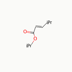 CC(C)C=CC(=O)OC(C)C